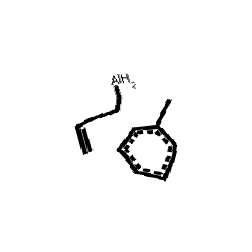 C=C[CH2][AlH2].Cc1ccccc1